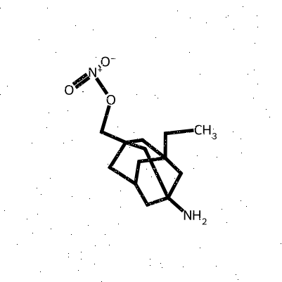 CCC12CC3CC(N)(C1)CC(CO[N+](=O)[O-])(C3)C2